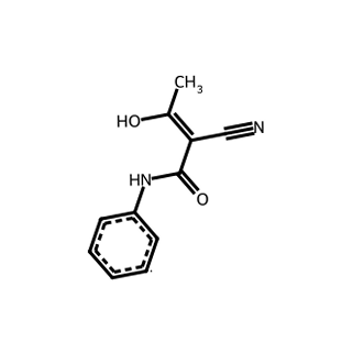 CC(O)=C(C#N)C(=O)Nc1c[c]ccc1